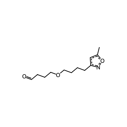 Cc1cc(CCCCOCCCC=O)no1